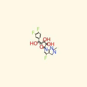 Cc1ncc2c(F)cn([C@@H]3O[C@H]([C@H](O)c4ccc(F)c(F)c4)[C@@H](O)[C@H]3O)c2n1